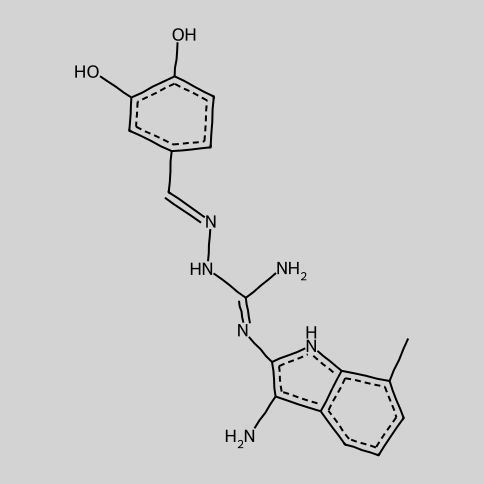 Cc1cccc2c(N)c(/N=C(\N)N/N=C/c3ccc(O)c(O)c3)[nH]c12